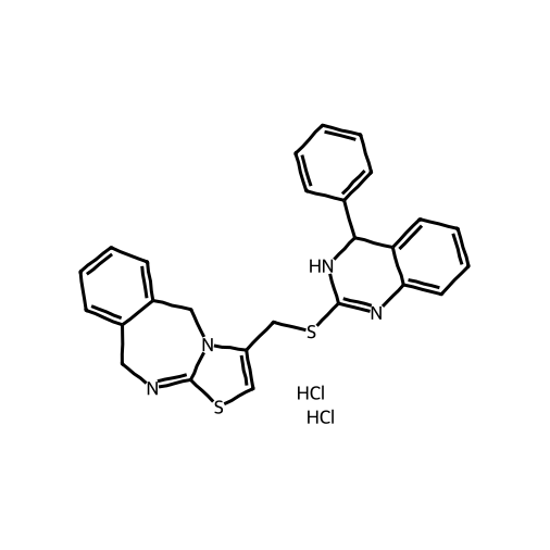 C1=C(CSC2=Nc3ccccc3C(c3ccccc3)N2)N2Cc3ccccc3CN=C2S1.Cl.Cl